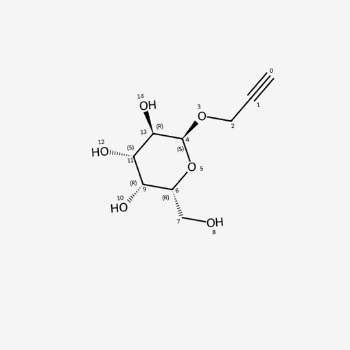 C#CCO[C@H]1O[C@H](CO)[C@H](O)[C@H](O)[C@H]1O